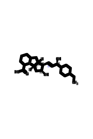 CCC1CCC([C@@H](O)/C=C/[C@@H]2[C@H]3CC4CCCC(C(=O)O)N4[C@@H]3C[C@H]2O)CC1